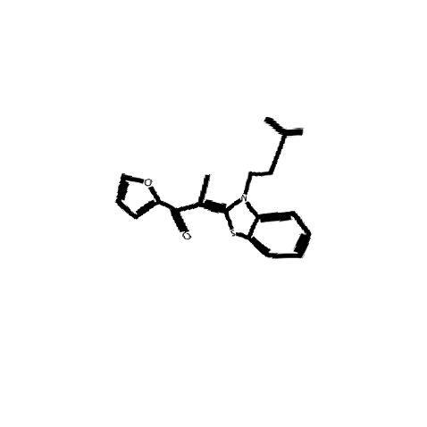 C/C(C(=O)c1ccco1)=C1/Sc2ccccc2N1CCC(C)C